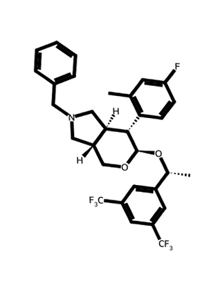 Cc1cc(F)ccc1[C@@H]1[C@@H](O[C@H](C)c2cc(C(F)(F)F)cc(C(F)(F)F)c2)OC[C@@H]2CN(Cc3ccccc3)C[C@H]21